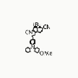 [C-]#[N+]c1ccc2c(C(C)(C)C)c(C#N)ccc2c1C=Cc1ccc(N(c2ccccc2)c2ccc(OC)cc2)cc1